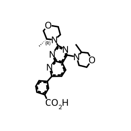 CC1COCCN1c1nc(N2CCOC[C@H]2C)nc2nc(-c3cccc(C(=O)O)c3)ccc12